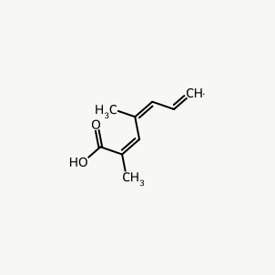 [CH]=CC=C(C)C=C(C)C(=O)O